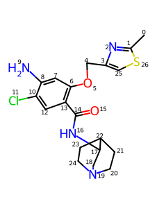 Cc1nc(COc2cc(N)c(Cl)cc2C(=O)NC2CN3CCC2CC3)cs1